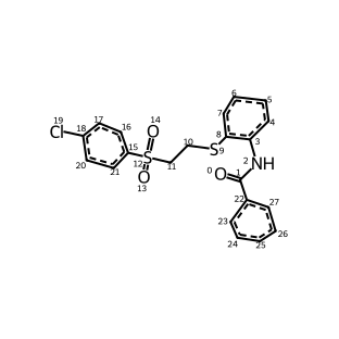 O=C(Nc1ccccc1SCCS(=O)(=O)c1ccc(Cl)cc1)c1ccccc1